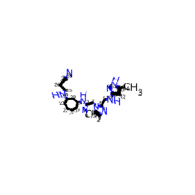 C=N/C(=C\n1ccnc1CNc1cc(C)[nH]n1)NC1CCCCC(NCCC#N)C1